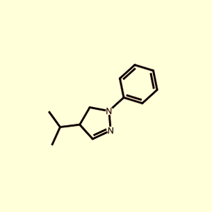 CC(C)C1C=NN(c2ccccc2)C1